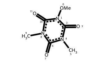 COn1c(=O)n(C)c(=O)n(C)c1=O